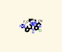 Cc1c([C@H](Nc2cc(Cl)c3ncc(C#N)c(NCC(C)(C)C)c3c2)C2=CN(C3(C(F)(F)F)CC3)NN2)cccc1-n1cncn1